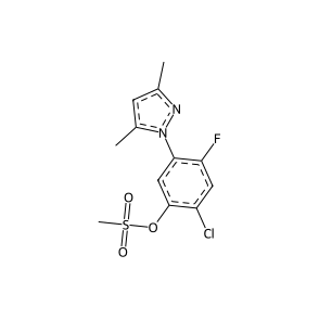 Cc1cc(C)n(-c2cc(OS(C)(=O)=O)c(Cl)cc2F)n1